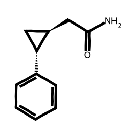 NC(=O)C[C@@H]1C[C@H]1c1ccccc1